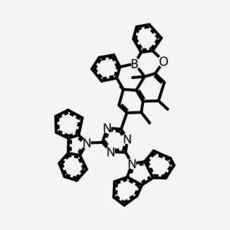 CC1C=C2Oc3ccccc3B3c4ccccc4C4(C)C=C(c5nc(-n6c7ccccc7c7ccccc76)nc(-n6c7ccccc7c7ccccc76)n5)C(C)C1=C4C32C